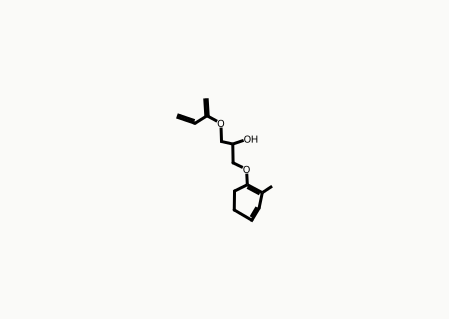 C=CC(=C)OCC(O)COC1=C(C)C=CCC1